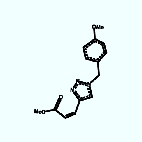 COC(=O)/C=C\c1cn(Cc2ccc(OC)cc2)nn1